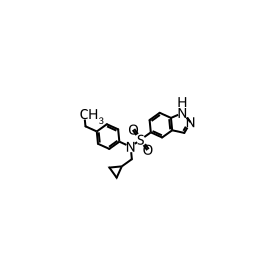 CCc1ccc(N(CC2CC2)S(=O)(=O)c2ccc3[nH]ncc3c2)cc1